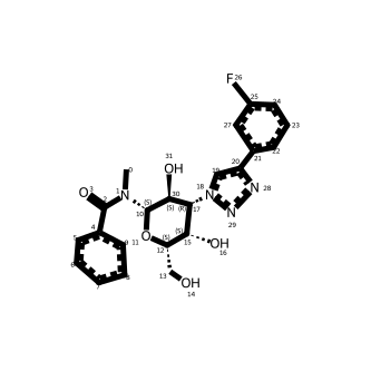 CN(C(=O)c1ccccc1)[C@H]1O[C@@H](CO)[C@@H](O)[C@@H](n2cc(-c3cccc(F)c3)nn2)[C@@H]1O